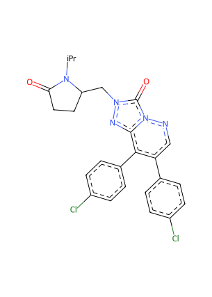 CC(C)N1C(=O)CCC1Cn1nc2c(-c3ccc(Cl)cc3)c(-c3ccc(Cl)cc3)cnn2c1=O